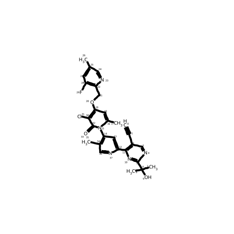 C#Cc1cnc(C(C)(C)O)nc1-c1cc(-n2c(C)cc(OCc3ncc(C)cc3F)c(Cl)c2=O)c(C)cn1